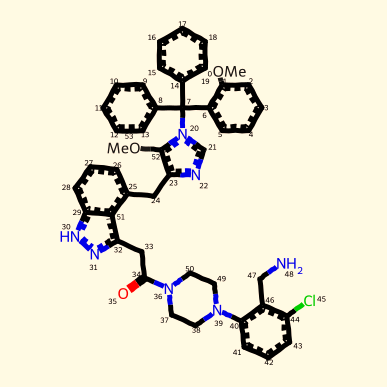 COc1ccccc1C(c1ccccc1)(c1ccccc1)n1cnc(Cc2cccc3[nH]nc(CC(=O)N4CCN(c5cccc(Cl)c5CN)CC4)c23)c1OC